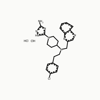 Cl.Cl.Nc1n[nH]c(N2CCC(N(CCc3ccc(Cl)cc3)Cc3cnc4ccccc4n3)CC2)n1